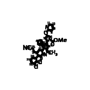 COC(=O)N1CC(Oc2ccccn2)CC1c1cc2c(C)nc3c(F)c(-c4cccc(Cl)c4Cl)c(CCC#N)cc3c2n1C1C2CNC1C2